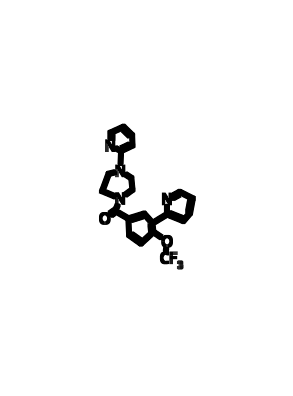 O=C(c1ccc(OC(F)(F)F)c(-c2ccccn2)c1)N1CCN(c2ccccn2)CC1